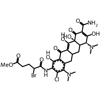 COC(=O)CCC(Br)C(=O)Nc1c(O)c2c(c(N(C)C)c1Cl)CC1CC3[C@H](N(C)C)C(O)=C(C(N)=O)C(=O)[C@@]3(O)C(O)=C1C2=O